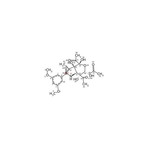 COc1cc(OC)cc(C(=O)N[C@@H]2[C@](O)(C(C)=O)[C@@H](C(O)C(C)=O)O[C@@](O)(C(C)=O)[C@@]2(O)C(C)=O)c1